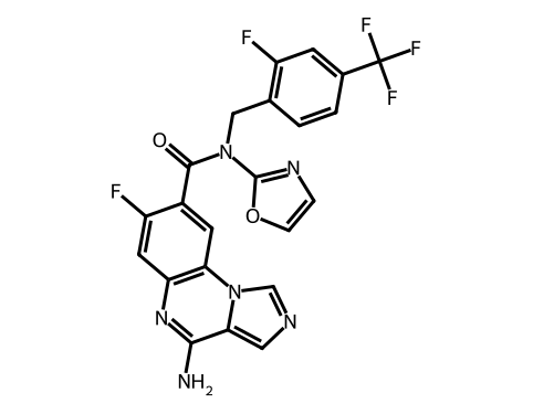 Nc1nc2cc(F)c(C(=O)N(Cc3ccc(C(F)(F)F)cc3F)c3ncco3)cc2n2cncc12